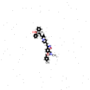 CN(C)Cc1c(OCc2ccc(C#N)cc2)ccc2c(CCC3CCN(CC4(CCC(C)(C)[Si](O)(c5ccccc5)c5ccccc5)CC4)CC3)noc12